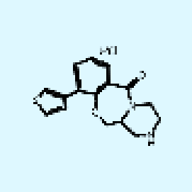 Cl.O=C1c2cccc(-c3ccsc3)c2OCC2CNCCN12